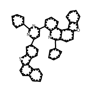 c1ccc(-c2nc(-c3ccc4c(c3)sc3ccc5ccccc5c34)cc(-c3cccc4c3nc(-c3ccccc3)c3ccc5oc6ccccc6c5c34)n2)cc1